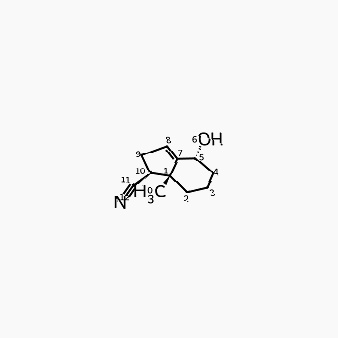 C[C@]12CCC[C@@H](O)C1=CC[C@@H]2C#N